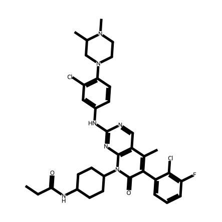 CCC(=O)NC1CCC(n2c(=O)c(-c3cccc(F)c3Cl)c(C)c3cnc(Nc4ccc(N5CCN(C)C(C)C5)c(Cl)c4)nc32)CC1